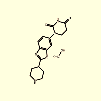 O=C1CCN(c2ccc3nc(C4CCNCC4)oc3c2)C(=O)N1.O=CO